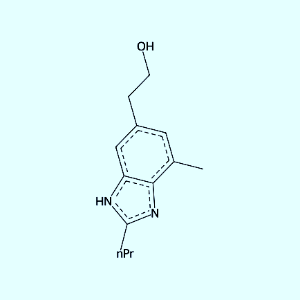 CCCc1nc2c(C)cc(CCO)cc2[nH]1